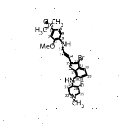 COc1cc(P(C)(C)=O)ccc1NCC#Cc1sc2c(NC3CCN(C)C[C@@H]3F)cccc2c1Br